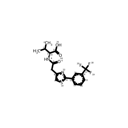 CC(C)[C@H](NC(=O)Cc1csc(-c2cccc(C(F)(F)F)c2)n1)C(=O)O